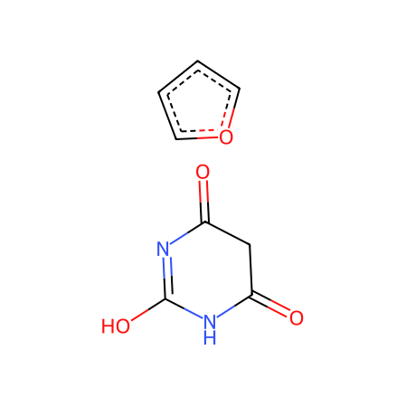 O=C1CC(=O)NC(O)=N1.c1ccoc1